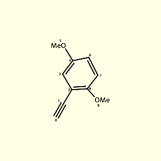 C#Cc1cc(OC)ccc1OC